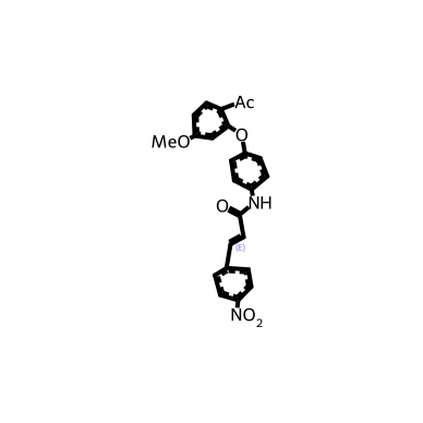 COc1ccc(C(C)=O)c(Oc2ccc(NC(=O)/C=C/c3ccc([N+](=O)[O-])cc3)cc2)c1